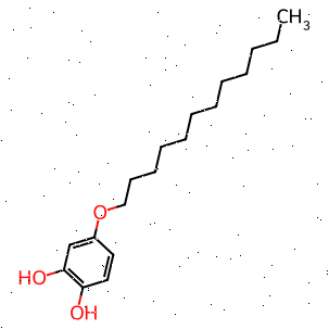 CCCCCCCCCCCCOc1ccc(O)c(O)c1